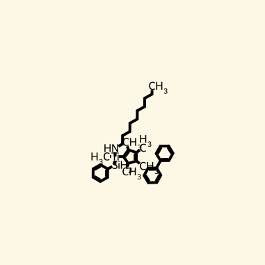 CCCCCCCCCC[NH][Ti]([CH3])([SiH2]c1ccccc1)[C]1=C(C)C(C)=C(C)C1C.c1ccc(-c2ccccc2)cc1